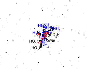 CSCC[C@H](NC(=O)[C@H](CCC(=O)O)NC(=O)[C@@H](N)CCC(=O)O)C(=O)N[C@@H](CCC(N)=O)C(=O)N[C@@H](CCCNC(=N)N)C(=O)N[C@@H](CCCNC(=N)N)C(=O)N[C@@H](C)C(=O)O